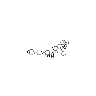 O=C1NCC[C@@]12Cc1cnc(Nc3ccc(N4CCC(N5CCOCC5)CC4)cn3)nc1N(C1CCCC1)C2=O